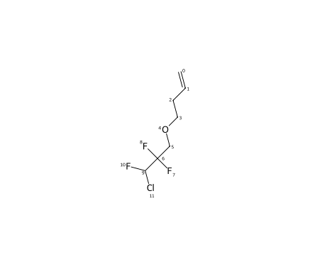 C=CCCOCC(F)(F)C(F)Cl